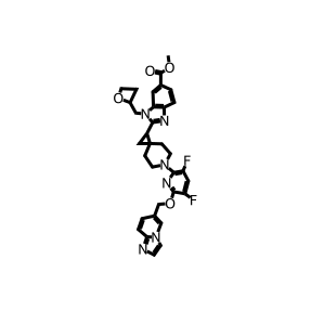 COC(=O)c1ccc2nc(C3CC34CCN(c3nc(OCc5ccc6nccn6c5)c(F)cc3F)CC4)n(CC3CCO3)c2c1